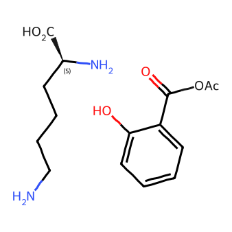 CC(=O)OC(=O)c1ccccc1O.NCCCC[C@H](N)C(=O)O